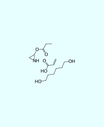 C=CC(=O)O.CCC(=O)OC1CN1.OCCCCCCO